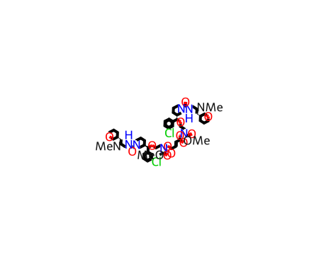 CN[C@@H](CNC(=O)N1CCC[C@@H](C(OCCN(OC(=O)/C=C/C(=O)ON(CCOC(c2cccc(Cl)c2)[C@@H]2CCCN(C(=O)NC[C@@H](C[C@H]3CCCOC3)NC)C2)C(=O)OC)C(=O)OC)c2cccc(Cl)c2)C1)C[C@H]1CCCOC1